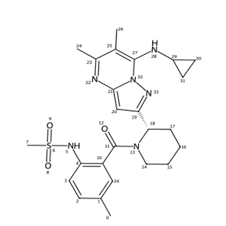 Cc1ccc(NS(C)(=O)=O)c(C(=O)N2CCCC[C@H]2c2cc3nc(C)c(C)c(NC4CC4)n3n2)c1